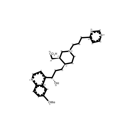 COc1ccc2nccc([C@@H](O)CC[C@@H]3CCN(CCCc4ccncn4)C[C@@H]3CC(=O)O)c2c1